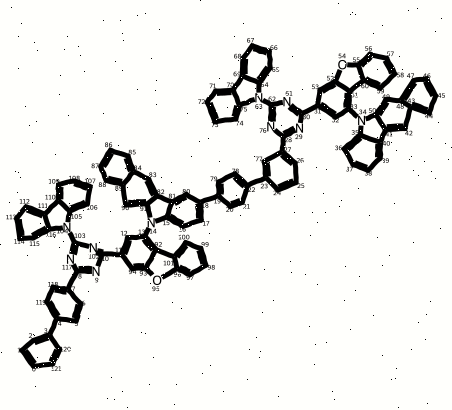 c1ccc(-c2ccc(-c3nc(-c4cc(-n5c6ccc(-c7ccc(-c8cccc(-c9nc(-c%10cc(-n%11c%12ccccc%12c%12cc%13ccccc%13cc%12%11)c%11c(c%10)oc%10ccccc%10%11)nc(-n%10c%11ccccc%11c%11ccccc%11%10)n9)c8)cc7)cc6c6cc7ccccc7cc65)c5c(c4)oc4ccccc45)nc(-n4c5ccccc5c5ccccc54)n3)cc2)cc1